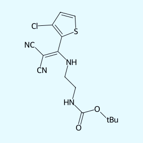 CC(C)(C)OC(=O)NCCNC(=C(C#N)C#N)c1sccc1Cl